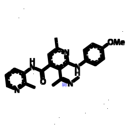 C/N=C(/C)c1c(C(=O)Nc2cccnc2C)cc(C)nc1Nc1ccc(OC)cc1